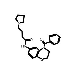 O=C(CCCN1CCCC1)Nc1ccc2c(c1)N(C(=O)c1ccccc1)CCS2